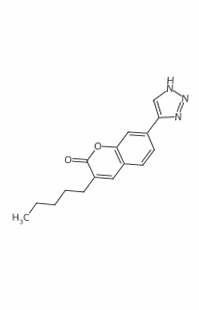 CCCCCc1cc2ccc(-c3c[nH]nn3)cc2oc1=O